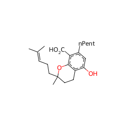 CCCCCc1cc(O)c2c(c1C(=O)O)OC(C)(CCC=C(C)C)CC2